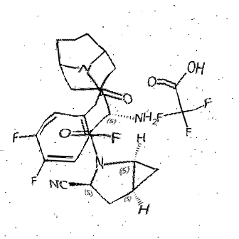 N#C[C@@H]1C[C@@H]2C[C@@H]2N1C(=O)[C@@H](N)C1CC2CCC(C1)N2C(=O)c1cc(F)c(F)cc1F.O=C(O)C(F)(F)F